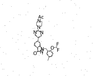 CC(=O)N1CCN(c2ncc(-c3ccc4c(=O)n(C)n(Cc5cc(C)ccc5OC(F)F)c4c3)cn2)CC1